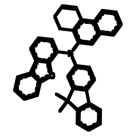 CC1(C)c2ccccc2-c2ccc(N(c3cc4ccccc4c4c3CCC=C4)c3cccc4c3oc3ccccc34)cc21